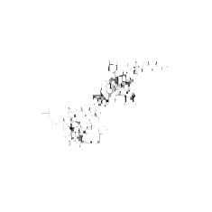 CN[C@@H](C)C(=S)N[C@H]1CCS[C@H]2CC(C)(C)[C@@H](C(=O)C[C@H](COCCCn3cc(COC[C@@H](NC(=O)[C@H]4N5C(=O)[C@@H](NC(=S)[C@H](C)NC)CCS[C@H]5CC4(C)C)c4ccccc4)nn3)c3ccccc3)N2C1=O